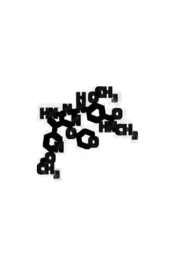 CCOc1ccc(-c2c[nH]c3nc(Nc4ccc(C(=O)NC)cc4OC)nc(OC4CCOCC4)c23)cn1